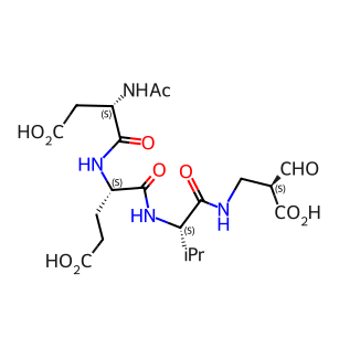 CC(=O)N[C@@H](CC(=O)O)C(=O)N[C@@H](CCC(=O)O)C(=O)N[C@H](C(=O)NC[C@@H](C=O)C(=O)O)C(C)C